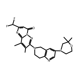 Cc1c(N2CCc3ncc(N4CCOC(C)(C)C4)cc3C2)nn2c(=O)cc(C(F)F)nc2c1C